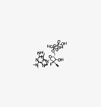 C#C[C@@]1(F)[C@H](O)[C@@H](COP(=O)(O)OP(=O)(O)O)O[C@H]1n1cnc2c(N(C)C)nc(N)nc21